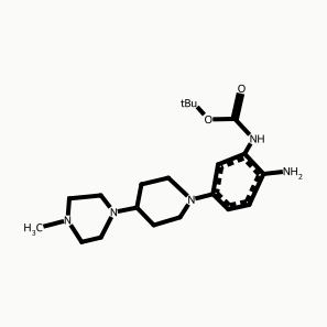 CN1CCN(C2CCN(c3ccc(N)c(NC(=O)OC(C)(C)C)c3)CC2)CC1